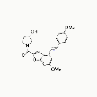 COc1ccc(/C=C/c2cc(OC)cc3oc(C(=O)N4CCC(O)C4)cc23)cc1